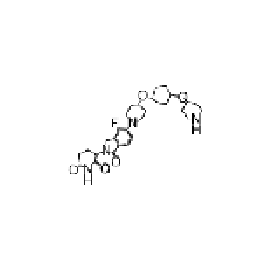 O=C1CCC(N2Cc3c(ccc(N4CCC(OC5CCC(OC6CCNCC6)CC5)CC4)c3F)C2=O)C(=O)N1